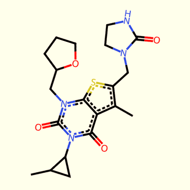 Cc1c(CN2CCNC2=O)sc2c1c(=O)n(C1CC1C)c(=O)n2CC1CCCO1